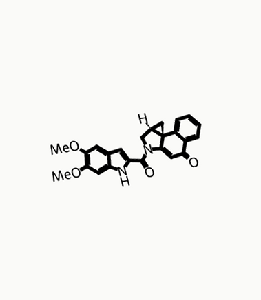 COc1cc2cc(C(=O)N3C[C@H]4C[C@@]45C3=CC(=O)c3ccccc35)[nH]c2cc1OC